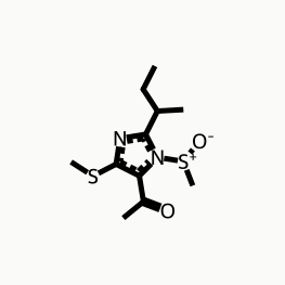 CCC(C)c1nc(SC)c(C(C)=O)n1[S+](C)[O-]